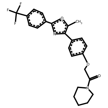 Cc1oc(-c2ccc(C(F)(F)F)cc2)nc1-c1ccc(OCC(=O)N2CCCCC2)cc1